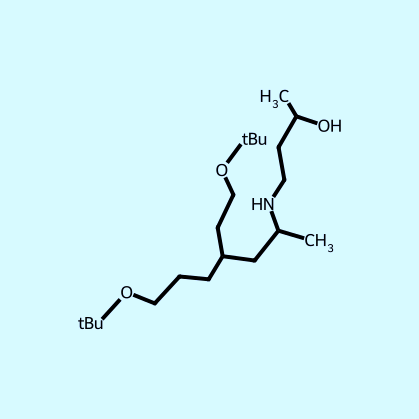 CC(O)CCNC(C)CC(CCCOC(C)(C)C)CCOC(C)(C)C